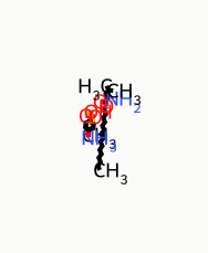 CCCCCCCCCCCCCCCCOC(=O)[C@@H](N)CC(C)C.Cc1ccc(S(=O)(=O)O)cc1.N